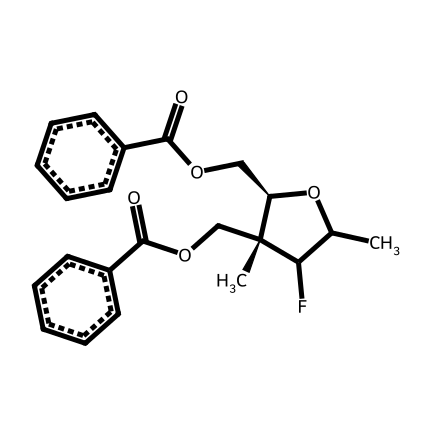 CC1O[C@H](COC(=O)c2ccccc2)[C@@](C)(COC(=O)c2ccccc2)C1F